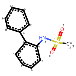 O=S(=O)(Nc1ccccc1-c1ccccc1)C(F)(F)F